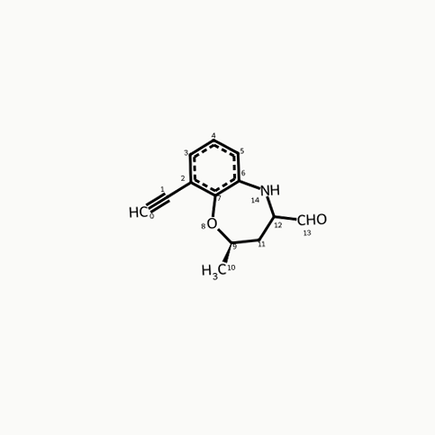 C#Cc1cccc2c1O[C@H](C)CC(C=O)N2